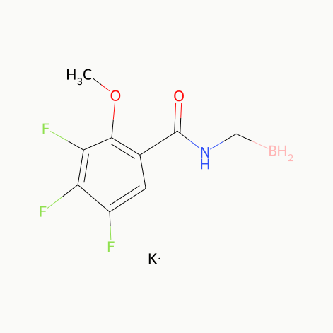 BCNC(=O)c1cc(F)c(F)c(F)c1OC.[K]